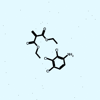 C=C(C(=O)OCC)C(=O)OCC.Nc1ccc(Cl)c(Cl)c1Cl